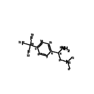 CN(C)CC(N)c1ccc(C(F)(F)F)cc1